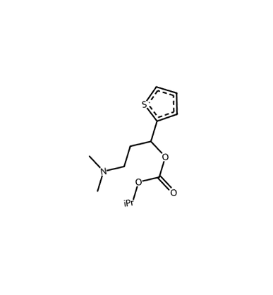 CC(C)OC(=O)OC(CCN(C)C)c1cccs1